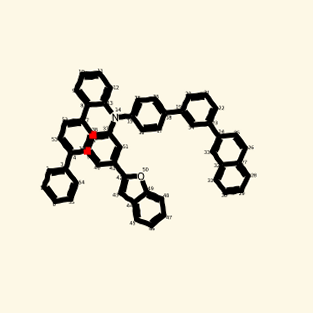 c1ccc(-c2ccc(-c3ccccc3N(c3ccc(-c4cccc(-c5ccc6ccccc6c5)c4)cc3)c3cccc(-c4cc5ccccc5o4)c3)cc2)cc1